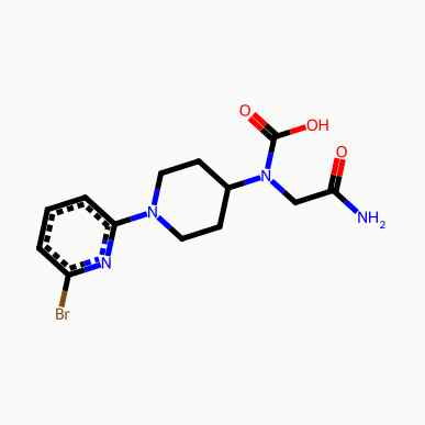 NC(=O)CN(C(=O)O)C1CCN(c2cccc(Br)n2)CC1